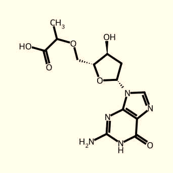 CC(OC[C@H]1O[C@@H](n2cnc3c(=O)[nH]c(N)nc32)C[C@@H]1O)C(=O)O